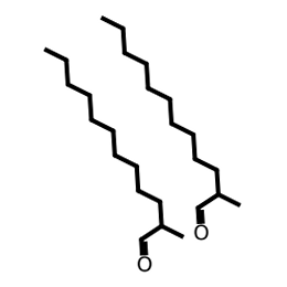 CCCCCCCCCCC(C)C=O.CCCCCCCCCCC(C)C=O